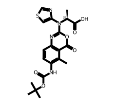 Cc1c(NC(=O)OC(C)(C)C)ccc2nc(N(c3cscn3)[C@@H](C)C(=O)O)oc(=O)c12